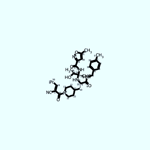 Cc1ccc(CNC(=O)[C@H](CC2CCN(C(=O)C(C#N)=CC(C)C)CC2)N[C@](C=O)(NC(=O)c2cc(C)on2)[C@@H](C)O)cc1